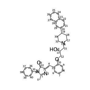 CC1=N/C(=C\c2ccccc2OC[C@@H](O)CN2CCC(c3ccc4ccccc4c3)CC2)C(=O)N1c1ccccc1